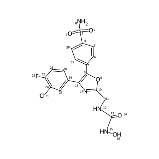 NS(=O)(=O)c1ccc(-c2oc(CNC(=O)NO)nc2-c2ccc(F)c(Cl)c2)cc1